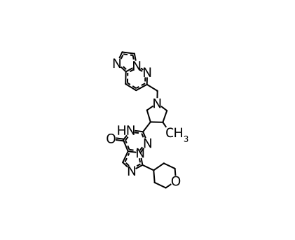 CC1CN(Cc2ccc3nccn3n2)CC1c1nn2c(C3CCOCC3)ncc2c(=O)[nH]1